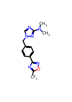 CN(C)c1ncn(Cc2ccc(-c3noc(C(F)(F)F)n3)cc2)n1